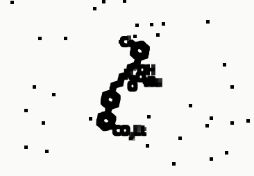 CCOC(=O)c1cccc(-c2ccc(CCCN(C[C@H](O)c3cccc(Cl)c3)C(=O)OC(C)(C)C)cc2)c1